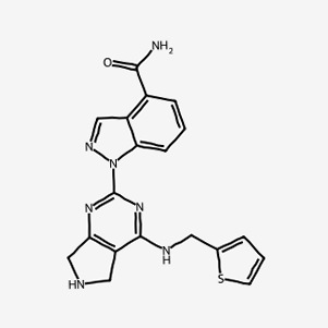 NC(=O)c1cccc2c1cnn2-c1nc2c(c(NCc3cccs3)n1)CNC2